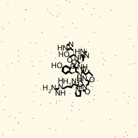 CC(C)[C@H](NC(=O)[C@H](C)NC(=O)[C@@H]1CCCN1C(=O)[C@@H](N)CCCNC(=N)N)C(=O)N[C@@H](Cc1ccc(O)cc1)C(=O)N[C@@H](Cc1c[nH]cn1)C(=O)N[C@@H](Cc1c[nH]cn1)C(=O)O